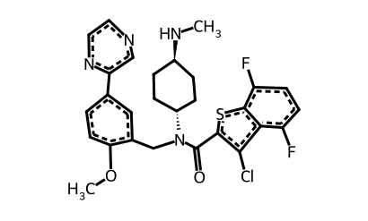 CN[C@H]1CC[C@H](N(Cc2cc(-c3cnccn3)ccc2OC)C(=O)c2sc3c(F)ccc(F)c3c2Cl)CC1